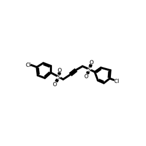 O=S(=O)(CC#CCS(=O)(=O)c1ccc(Cl)cc1)c1ccc(Cl)cc1